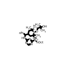 CCCCCCCCNc1ncnc(NC(CCC)C2CC(C)(C)N(OCC(C)(C)O)C(C)(C)C2)n1